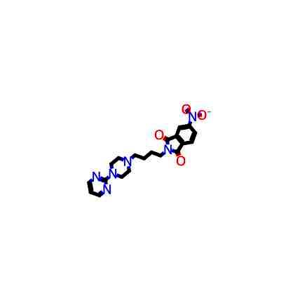 O=C1c2ccc([N+](=O)[O-])cc2C(=O)N1CCCCN1CCN(c2ncccn2)CC1